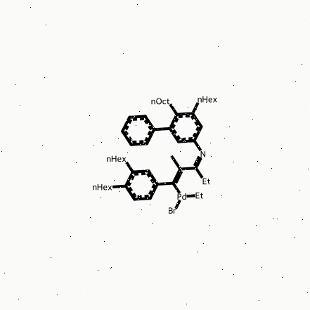 CCCCCCCCc1c(CCCCCC)cc(N=C(CC)C(C)=[C](c2ccc(CCCCCC)c(CCCCCC)c2)[Pd]([Br])[CH2]C)cc1-c1ccccc1